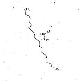 CCCCCCCCC(CCCCCCCC)C(=O)NCl